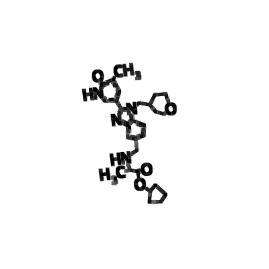 Cc1cc(-c2nc3cc(CNC(C)C(=O)OC4CCCC4)ccc3n2CC2CCOCC2)c[nH]c1=O